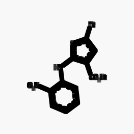 CCOC(=O)c1cc(CC)sc1Nc1ccccc1[N+](=O)[O-]